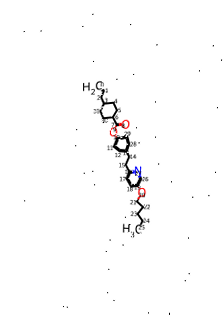 C=CCC1CCC(C(=O)Oc2ccc(CCc3ccc(OCCCCC)cn3)cc2)CC1